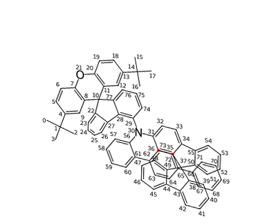 CC(C)(C)c1ccc2c(c1)C1(c3cc(C(C)(C)C)ccc3O2)c2ccccc2-c2c(N(c3ccc4c(c3)C3(c5ccccc5-c5ccccc53)c3ccccc3-4)c3ccccc3-c3ccc(-c4ccccc4)cc3)cccc21